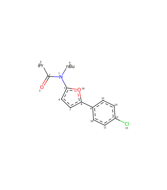 CCCCN(C(=O)C(C)C)c1ccc(-c2ccc(Cl)cc2)o1